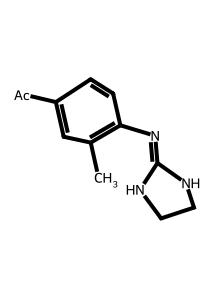 CC(=O)c1ccc(N=C2NCCN2)c(C)c1